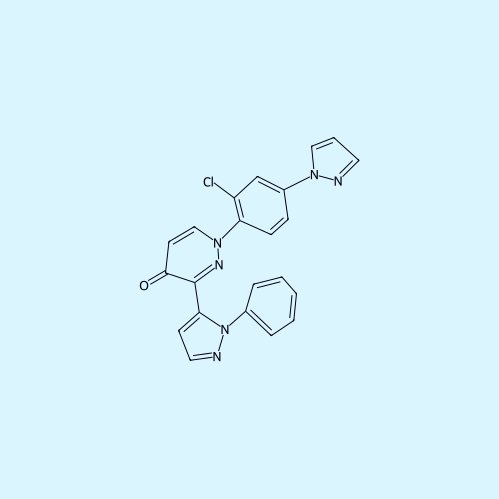 O=c1ccn(-c2ccc(-n3cccn3)cc2Cl)nc1-c1ccnn1-c1ccccc1